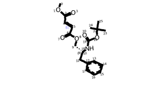 COC(=O)/C=C/C(=O)OC[C@@H](Cc1ccccc1)NC(=O)OC(C)(C)C